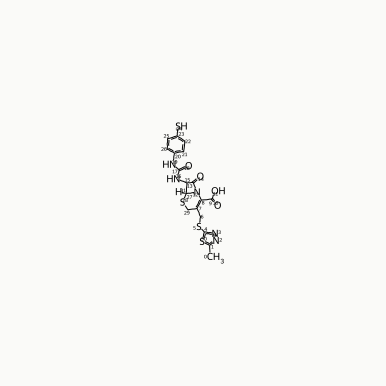 Cc1nnc(SCC2=C(C(=O)O)N3C(=O)C(NC(=O)Nc4ccc(S)cc4)[C@H]3SC2)s1